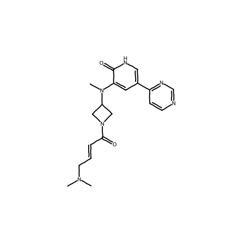 CN(C)C/C=C/C(=O)N1CC(N(C)c2cc(-c3ccncn3)c[nH]c2=O)C1